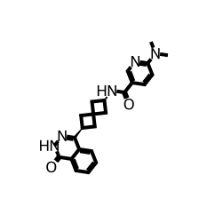 CN(C)c1ccc(C(=O)N[C@H]2CC3(C2)C[C@H](c2n[nH]c(=O)c4ccccc42)C3)cn1